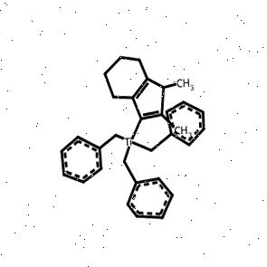 CC1=[C]([Ti]([CH2]c2ccccc2)([CH2]c2ccccc2)[CH2]c2ccccc2)C2=C(CCCC2)C1C